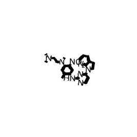 Cc1cc(N(C)CCN(C)C)c([N+](=O)[O-])cc1Nc1nccc(-n2ccc3cccnc32)n1